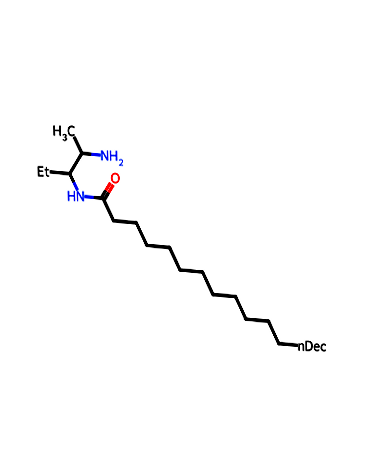 CCCCCCCCCCCCCCCCCCCCCC(=O)NC(CC)C(C)N